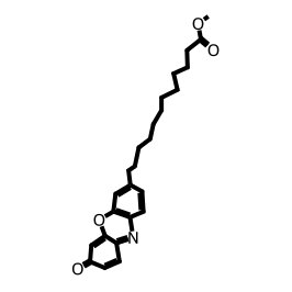 COC(=O)CCCCCCCCCCCc1ccc2nc3ccc(=O)cc-3oc2c1